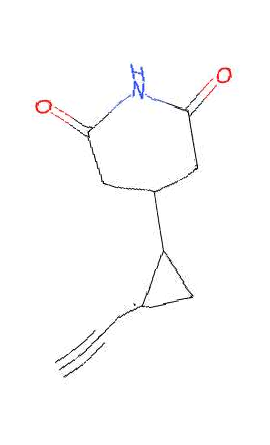 C#C[C]1CC1C1CC(=O)NC(=O)C1